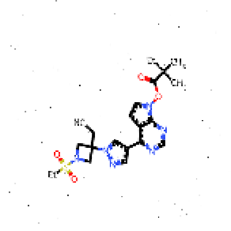 CCC(C)(C)C(=O)On1ccc2c(-c3cnn(C4(CC#N)CN(S(=O)(=O)CC)C4)c3)ncnc21